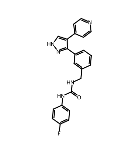 O=C(NCc1cccc(-c2n[nH]cc2-c2ccncc2)c1)Nc1ccc(F)cc1